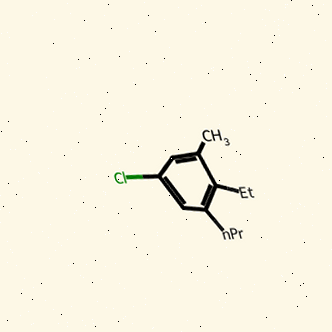 CCCc1cc(Cl)cc(C)c1CC